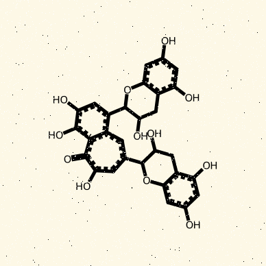 O=c1c(O)cc(C2Oc3cc(O)cc(O)c3CC2O)cc2c(C3Oc4cc(O)cc(O)c4CC3O)cc(O)c(O)c12